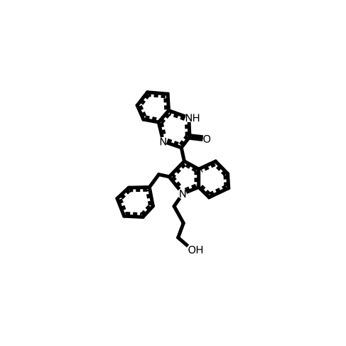 O=c1[nH]c2ccccc2nc1-c1c(Cc2ccccc2)n(CCCO)c2ccccc12